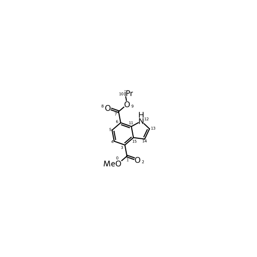 COC(=O)c1ccc(C(=O)OC(C)C)c2[nH]ccc12